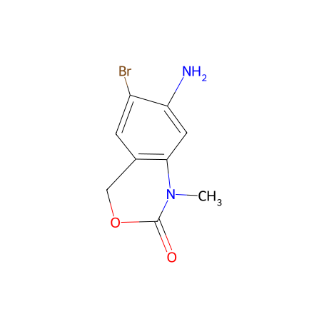 CN1C(=O)OCc2cc(Br)c(N)cc21